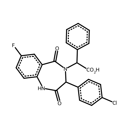 O=C(O)C(c1ccccc1)N1C(=O)c2cc(F)ccc2NC(=O)C1c1ccc(Cl)cc1